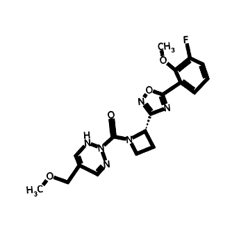 COCC1=CNN(C(=O)N2CC[C@H]2c2noc(-c3cccc(F)c3OC)n2)N=C1